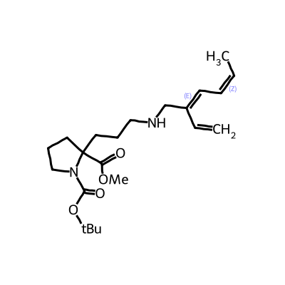 C=C/C(=C\C=C/C)CNCCCC1(C(=O)OC)CCCN1C(=O)OC(C)(C)C